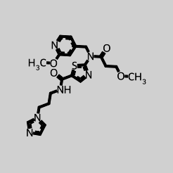 COCCC(=O)N(Cc1ccnc(OC)c1)c1ncc(C(=O)NCCCn2ccnc2)s1